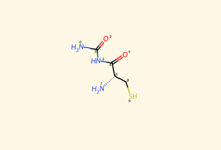 NC(=O)NC(=O)[C@@H](N)CS